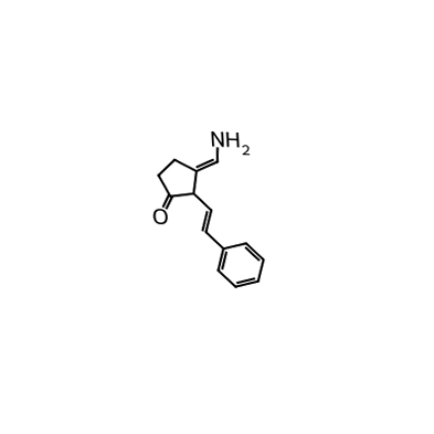 NC=C1CCC(=O)C1C=Cc1ccccc1